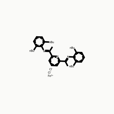 CCCCc1cccc(CCCC)c1N=C(C)c1cccc(C(C)=Nc2c(CCCC)cccc2CCCC)n1.[Cl-].[Cl-].[Fe+2]